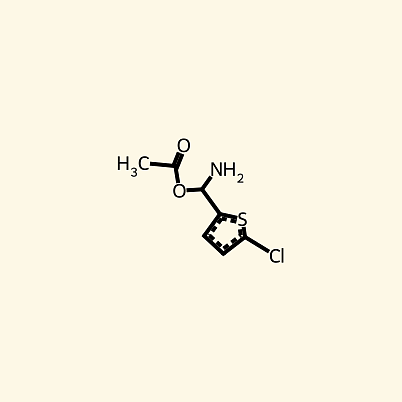 CC(=O)OC(N)c1ccc(Cl)s1